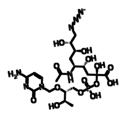 CC(=O)N[C@@H](C[C@H](O)[C@H](O)CN=[N+]=[N-])[C@H](O)C[C@@](O)(OP(=O)(O)OC[C@@H](OCn1ccc(N)nc1=O)[C@@H](C)O)C(=O)O